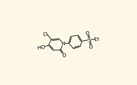 CCS(=O)(=O)c1ccc(-n2cc(Cl)c(O)cc2=O)cc1